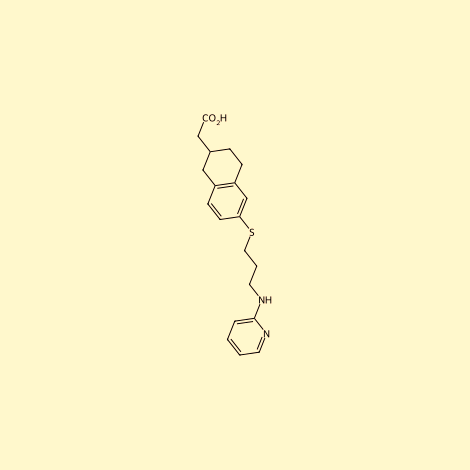 O=C(O)CC1CCc2cc(SCCCNc3ccccn3)ccc2C1